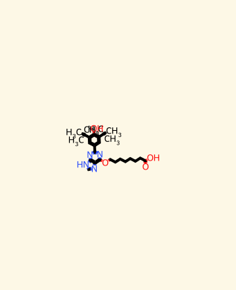 CC(C)(C)c1cc(-c2nc(OCCCCCCCC(=O)O)c3nc[nH]c3n2)cc(C(C)(C)C)c1O